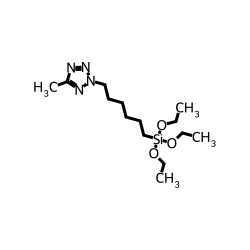 CCO[Si](CCCCCCn1nnc(C)n1)(OCC)OCC